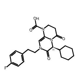 O=C1[C@H](C2CCCCC2)N2C(=O)CCN(C(=O)O)C2=CN1CCc1ccc(F)cc1